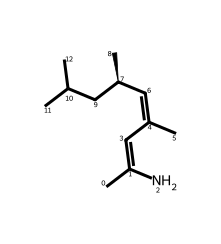 C/C(N)=C/C(C)=C\[C@H](C)CC(C)C